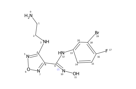 NCCNc1nonc1/C(=N/O)Nc1ccc(F)c(Br)c1